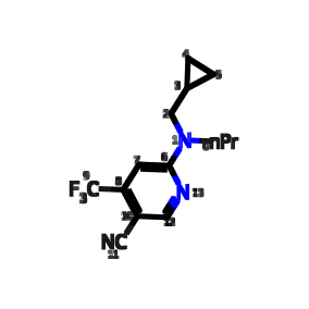 CCCN(CC1CC1)c1cc(C(F)(F)F)c(C#N)cn1